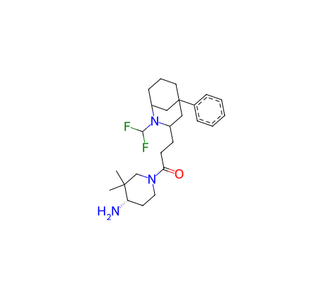 CC1(C)CN(C(=O)CCC2CC3(c4ccccc4)CCCC(C3)N2C(F)F)CC[C@@H]1N